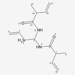 C=C[SiH2]C(NC(=O)C(C)C=C)NC(=O)C(C)C=C